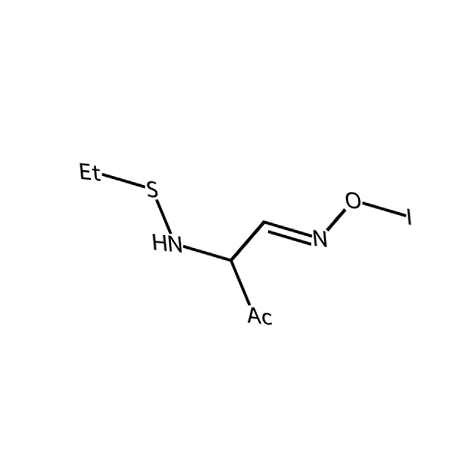 CCSNC(C=NOI)C(C)=O